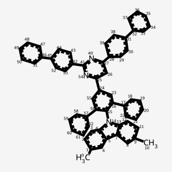 Cc1ccc2c(c1)c1cc(C)ccc1n2-c1c(-c2ccccc2)cc(-c2cc(-c3ccc(-c4ccccc4)cc3)nc(-c3ccc(-c4ccccc4)cc3)n2)cc1-c1ccccc1